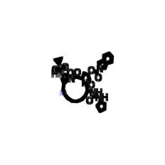 O=C(NC1CCCC1)NC1CCCCC/C=C\C2CC2(C(=O)NS(=O)(=O)C2CC2)NC(=O)C2CC(OC(=O)n3cc4ccccc4c3)CN2C1=O